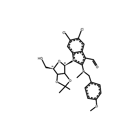 COc1ccc(CN(C)c2c(C=O)c3cc(Cl)c(Cl)cc3n2[C@@H]2O[C@H](CO)C3OC(C)(C)OC32)cc1